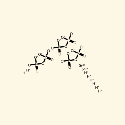 O=P([O-])([O-])OP(=O)([O-])[O-].O=P([O-])([O-])OP(=O)([O-])[O-].O=P([O-])([O-])OP(=O)([O-])[O-].[H+].[H+].[H+].[H+].[H+].[H+].[H+].[H+].[Sr+2].[Sr+2]